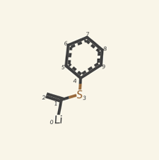 [Li][C](=C)Sc1ccccc1